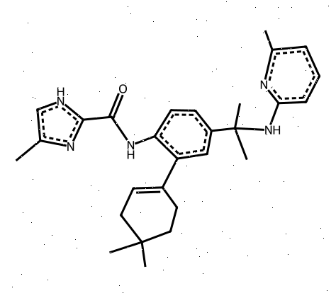 Cc1cccc(NC(C)(C)c2ccc(NC(=O)c3nc(C)c[nH]3)c(C3=CCC(C)(C)CC3)c2)n1